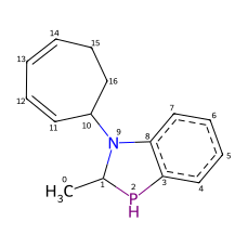 CC1Pc2ccccc2N1C1C=CC=CCC1